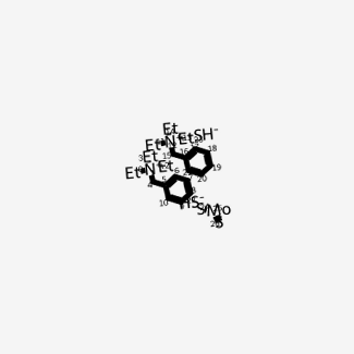 CC[N+](CC)(CC)Cc1ccccc1.CC[N+](CC)(CC)Cc1ccccc1.[SH-].[SH-].[S]=[Mo]=[S]